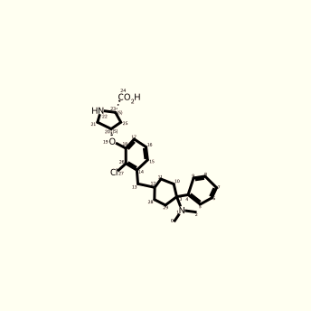 CN(C)C1(c2ccccc2)CCC(Cc2cccc(O[C@@H]3CN[C@H](C(=O)O)C3)c2Cl)CC1